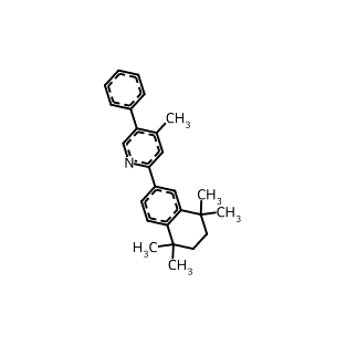 Cc1cc(-c2ccc3c(c2)C(C)(C)CCC3(C)C)ncc1-c1ccccc1